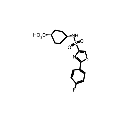 O=C(O)[C@H]1CC[C@@H](NS(=O)(=O)c2csc(-c3ccc(F)cc3)n2)CC1